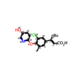 CCCC/C(=C\C(=O)O)c1cc(C)c(Oc2ccc(O)cn2)c(Cl)c1